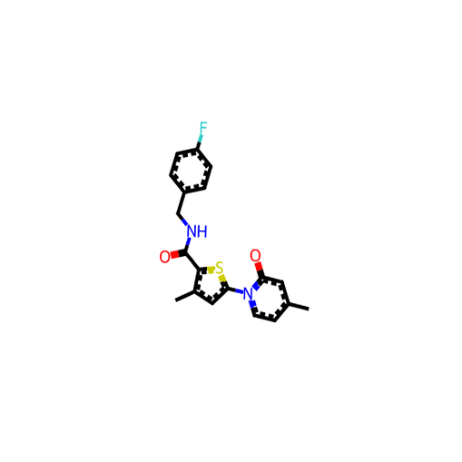 Cc1ccn(-c2cc(C)c(C(=O)NCc3ccc(F)cc3)s2)c(=O)c1